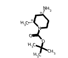 C[C@@H]1C[C@H](N)CCN1C(=O)OC(C)(C)C